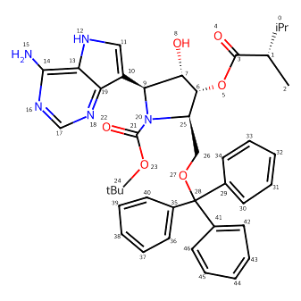 CC(C)[C@H](C)C(=O)O[C@H]1[C@@H](O)[C@H](c2c[nH]c3c(N)ncnc23)N(C(=O)OC(C)(C)C)[C@@H]1COC(c1ccccc1)(c1ccccc1)c1ccccc1